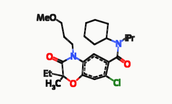 CCC1(C)Oc2cc(Cl)c(C(=O)N(C(C)C)C3CCCCC3)cc2N(CCCOC)C1=O